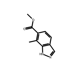 COC(=O)c1ccc2cn[nH]c2c1C